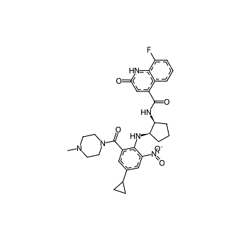 CN1CCN(C(=O)c2cc(C3CC3)cc([N+](=O)[O-])c2N[C@@H]2CCC[C@@H]2NC(=O)c2cc(=O)[nH]c3c(F)cccc23)CC1